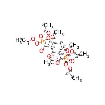 CCOOP(=O)(OOCC)C(=O)c1c(OC)cc(OC)c(C(=O)P(=O)(OOCC)OOCC)c1OC